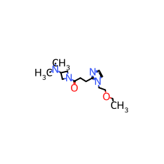 CCOCCn1ccnc1CCC(=O)N1CC(N(C)C)C1